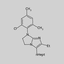 CCCCCCCc1c(CC)nc2n1CCN2c1c(C)cc(C)cc1Cl